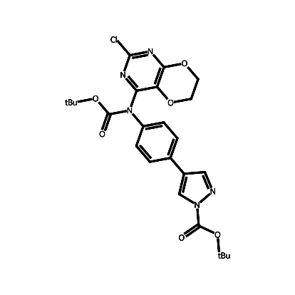 CC(C)(C)OC(=O)N(c1ccc(-c2cnn(C(=O)OC(C)(C)C)c2)cc1)c1nc(Cl)nc2c1OCCO2